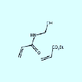 C=CC(=O)NCO.C=CC(=O)OCC